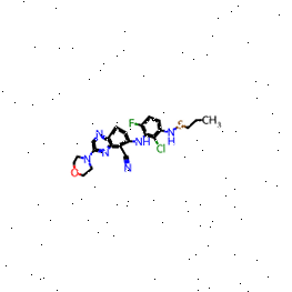 CCCSNc1ccc(F)c(Nc2ccc3ncc(N4CCOCC4)nc3c2C#N)c1Cl